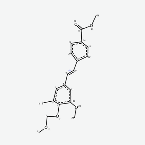 COCOc1c(I)cc(/C=C/c2ccc(C(=O)OC)cc2)cc1OC